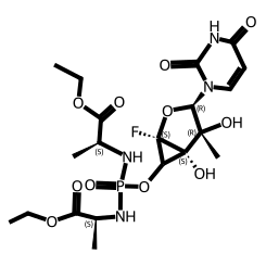 CCOC(=O)[C@H](C)NP(=O)(N[C@@H](C)C(=O)OCC)OC1[C@]2(O)[C@@](C)(O)[C@H](n3ccc(=O)[nH]c3=O)O[C@]12F